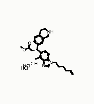 C=CCCCCn1cnc2c(C)c([C@H](CC(=O)OC)c3ccc4c(c3)CNCC4)ccc21.Cl.Cl.Cl